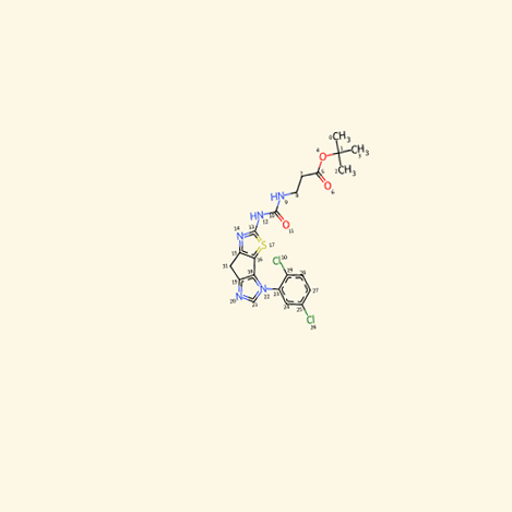 CC(C)(C)OC(=O)CCNC(=O)Nc1nc2c(s1)-c1c(ncn1-c1cc(Cl)ccc1Cl)C2